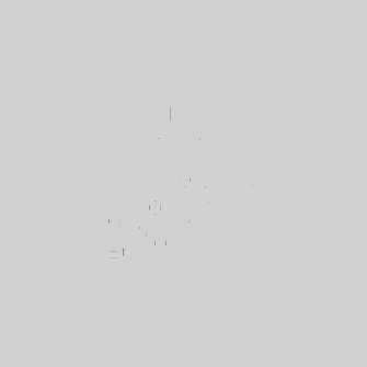 CCC(C)(C)C(=O)OC12CC3CC(C1)CC(OS(=O)(=O)CC)(C3)C2